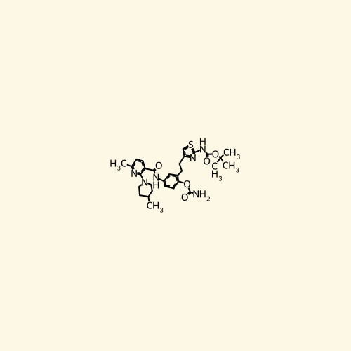 Cc1ccc(C(=O)Nc2ccc(OC(N)=O)c(CCc3csc(NC(=O)OC(C)(C)C)n3)c2)c(N2CCC(C)CC2)n1